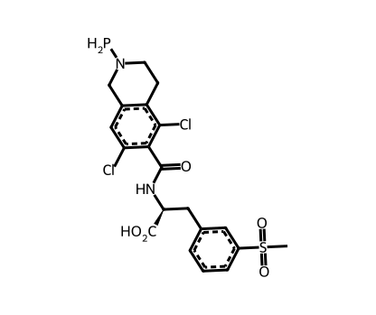 CS(=O)(=O)c1cccc(C[C@H](NC(=O)c2c(Cl)cc3c(c2Cl)CCN(P)C3)C(=O)O)c1